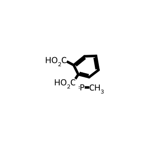 C[P].O=C(O)c1ccccc1C(=O)O